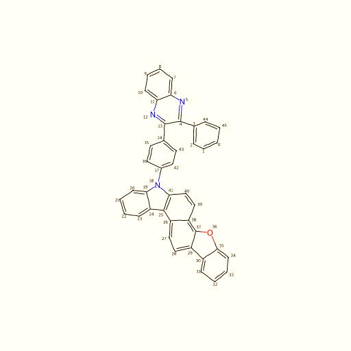 c1ccc(-c2nc3ccccc3nc2-c2ccc(-n3c4ccccc4c4c5ccc6c7ccccc7oc6c5ccc43)cc2)cc1